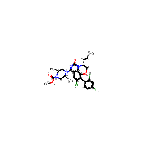 C[C@H]1CN(c2nc(=O)n3c4c(c(-c5ccc(F)cc5F)c(Cl)cc24)OC[C@H]3CCC=O)[C@@H](C)CN1C(=O)OC(C)(C)C